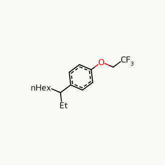 CCCCCCC(CC)c1ccc(OCC(F)(F)F)cc1